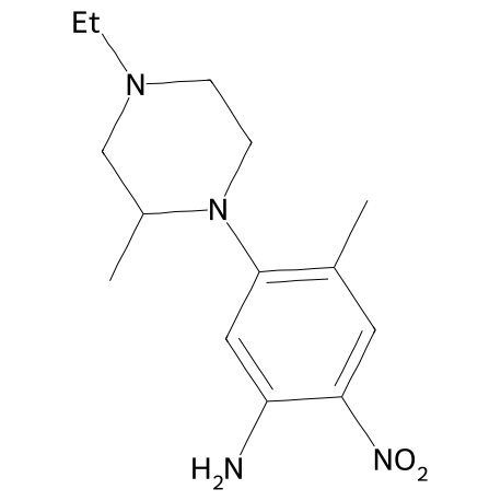 CCN1CCN(c2cc(N)c([N+](=O)[O-])cc2C)C(C)C1